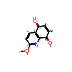 COc1ccc2c(n1)C(=O)C=CC2=O